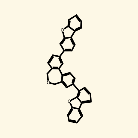 c1ccc2c(c1)oc1cc(-c3ccc4c(c3)-c3ccc(-c5cccc6c5oc5ccccc56)cc3COC4)ccc12